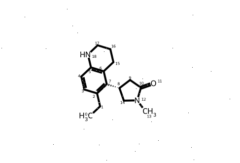 CCc1ccc2c(c1[C@@H]1CC(=O)N(C)C1)CCCN2